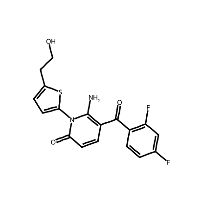 Nc1c(C(=O)c2ccc(F)cc2F)ccc(=O)n1-c1ccc(CCO)s1